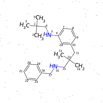 CC(C)(C)CNc1cccc(CC(C)(C)CNCc2ccccc2)c1